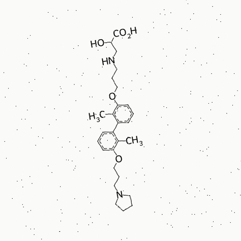 Cc1c(OCCCNCC(O)C(=O)O)cccc1-c1cccc(OCCCN2CCCC2)c1C